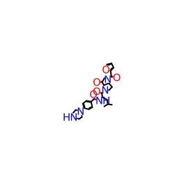 CC(C)CC(NC(=O)c1ccc(N2CCNCC2)cc1)C(=O)N1CCC2C1C(=O)CN2C(=O)c1ccco1